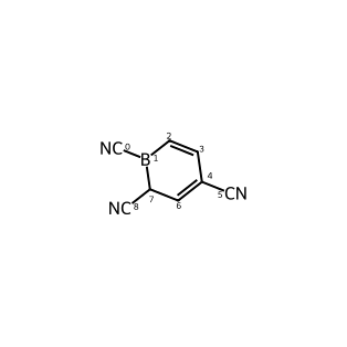 N#CB1C=CC(C#N)=CC1C#N